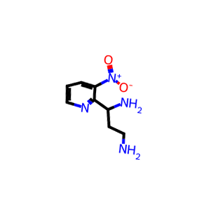 NCCC(N)c1ncccc1[N+](=O)[O-]